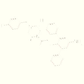 C[C@@H]1CN(C(=O)COc2c(-c3ccccc3)cc(N)cc2-c2ccccc2)[C@@H](C)CN1Cc1ccc(F)cc1